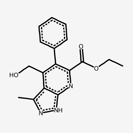 CCOC(=O)c1nc2[nH]nc(C)c2c(CO)c1-c1ccccc1